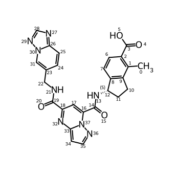 Cc1c(C(=O)O)ccc2c1CC[C@@H]2NC(=O)c1cc(C(=O)NCc2ccc3ncnn3c2)nc2ccnn12